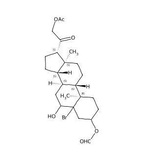 CC(=O)OCC(=O)[C@H]1CC[C@H]2[C@@H]3CC(O)C4(Br)CC(OC=O)CC[C@]4(C)[C@H]3CC[C@]12C